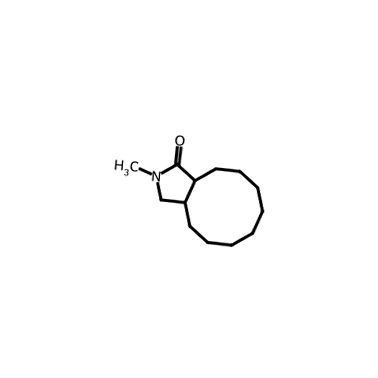 CN1CC2CCCCCCCCC2C1=O